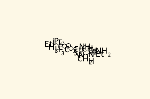 C=C(CCSSC1CCC2(C)C(=CCC3C2CCC2(C)C(CCCC(CC)C(C)C)CCC32)C1)N(CCCCNCCC(N)(CC)CC)CCC(C)(N)CC